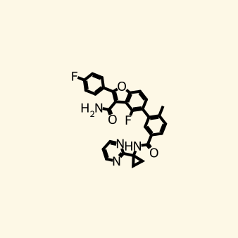 Cc1ccc(C(=O)NC2(c3ncccn3)CC2)cc1-c1ccc2oc(-c3ccc(F)cc3)c(C(N)=O)c2c1F